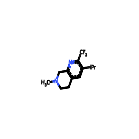 CC(C)c1cc2c(nc1C(F)(F)F)CN(C)CC2